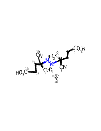 CC(C#N)(CCC(=O)O)N=NC(C)(C#N)CCC(=O)O.[K].[K]